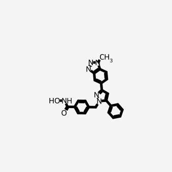 Cn1nnc2cc(-c3cc(-c4ccccc4)n(Cc4ccc(C(=O)NO)cc4)n3)ccc21